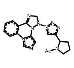 CC(=O)N1CCCC1c1cn(N2CN=C3c4ccccc4-n4cncc4N32)nn1